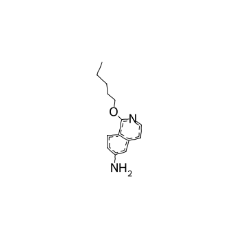 CCCCCOc1nccc2cc(N)ccc12